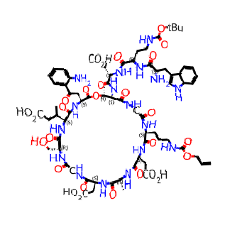 C=CCOC(=O)NCCC[C@@H]1NC(=O)CNC(=O)[C@@H](NC(=O)[C@H](CC(=O)O)NC(=O)[C@@H](CCNC(=O)OC(C)(C)C)NC(=O)[C@@H](N)CC2=CNC3C=CC=CC23)[C@@H](C)OC(=O)[C@H](CC(=O)c2ccccc2N)NC(=O)[C@H](C(C)CC(=O)O)NC(=O)[C@@H](CO)NC(=O)CNC(=O)[C@H](CC(=O)O)NC(=O)[C@@H](C)NC(=O)[C@H](CC(=O)O)NC1=O